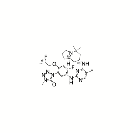 C[C@H](F)COc1cc(F)c(Nc2ncc(F)c(N[C@@H]3C[C@H]4CCCN4C(C)(C)C3)n2)cc1-n1nnn(C)c1=O